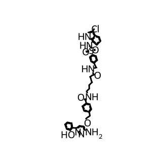 Nc1nnc(-c2ccccc2O)cc1OCCc1ccc(C(=O)NCCCCCC(=O)NCc2ccc(S(=O)(=O)Nc3cccc4c(Cl)c[nH]c34)cc2)cc1